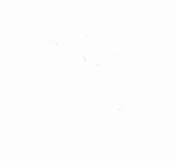 CN(C)C(=O)c1cc2cc([N+](=O)[O-])cc(Cl)c2n1C